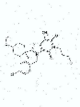 CC(C)OC1CCC(F)(c2nc3c(c(=O)n(CCCO)c(=O)n3C)n2Cc2ccc(Cl)cc2)CC1